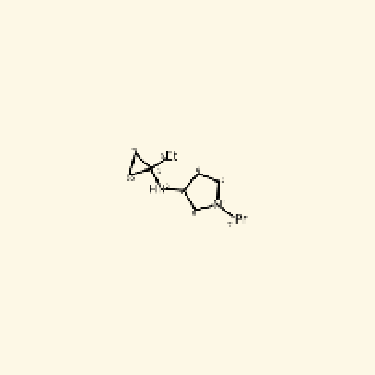 CCC1(NC2CCN(C(C)C)C2)CC1